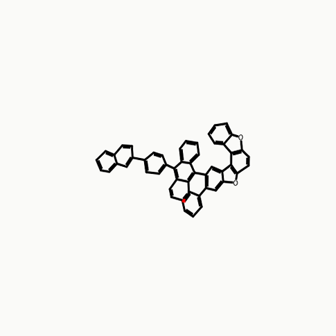 c1ccc(-c2cc3oc4ccc5oc6ccccc6c5c4c3cc2-c2c3ccccc3c(-c3ccc(-c4ccc5ccccc5c4)cc3)c3ccccc23)cc1